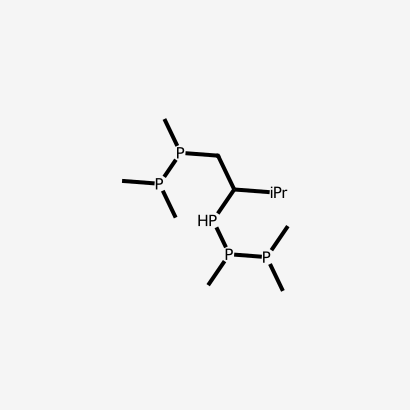 CC(C)C(CP(C)P(C)C)PP(C)P(C)C